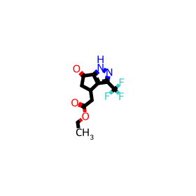 CCOC(=O)CC1CC(=O)c2[nH]nc(C(F)(F)F)c21